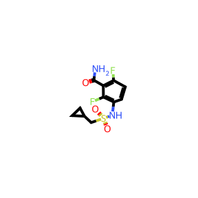 NC(=O)c1c(F)ccc(NS(=O)(=O)CC2CC2)c1F